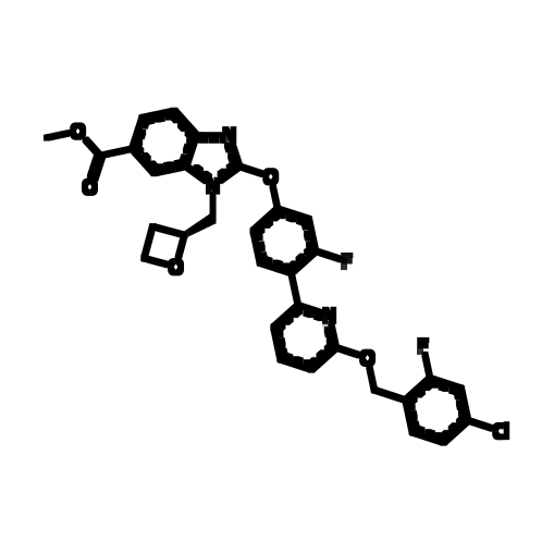 COC(=O)c1ccc2nc(Oc3ccc(-c4cccc(OCc5ccc(Cl)cc5F)n4)c(F)c3)n(C[C@@H]3CCO3)c2c1